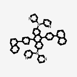 c1cncc(N(c2cccnc2)c2ccc3c(-c4ccc(-c5cccc6ccccc56)cc4)c4cc(N(c5cccnc5)c5cccnc5)ccc4c(-c4ccc(-c5cccc6ccccc56)cc4)c3c2)c1